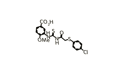 COc1ccc(C(=O)O)cc1NC(=S)NC(=O)CSc1ccc(Cl)cc1